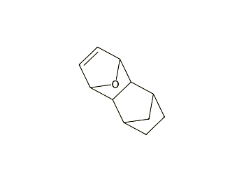 C1=CC2OC1C1C3CCC(C3)C21